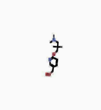 CN(C)CC(C)(C)COc1ccc(CO)cn1